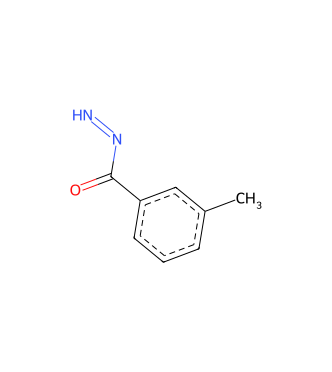 Cc1cccc(C(=O)N=N)c1